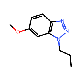 CCCn1nnc2ccc(OC)cc21